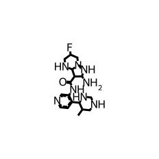 CC1CNCNC1c1ccncc1NC(=O)C1C(N)NN2CC(F)CNC12